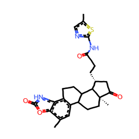 Cc1cnc(NC(=O)CC[C@@H]2CC(=O)[C@@]3(C)CCC4c5cc(C)c6oc(=O)[nH]c6c5CCC4C23)s1